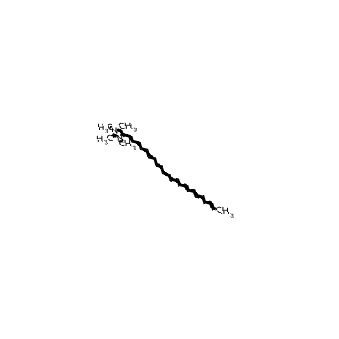 CCCCCCCCCCCCCCCCCCCCCCCC1C(C)N(C)C(C)N1C